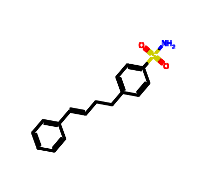 NS(=O)(=O)c1ccc(CCC=Cc2ccccc2)cc1